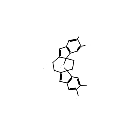 Cc1cc2c(cc1C)[C]13CC[C]4([Zr+2]1)C(=Cc1cc(C)c(C)cc14)CCC3=C2.[Cl-].[Cl-]